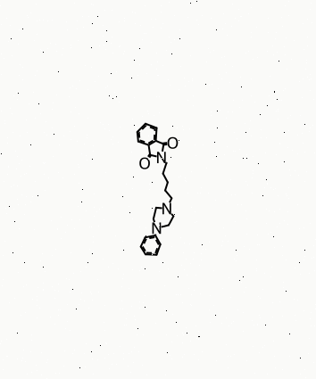 O=C1c2ccccc2C(=O)N1CCCCCN1CCN(c2ccccc2)CC1